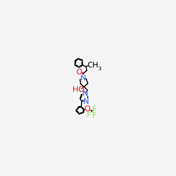 CC(CC(=O)N1CCC(O)(CN2C=CC(c3ccccc3OC(F)(F)F)=NC2)CC1)c1ccccc1